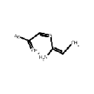 C=C(/C=N\C(N)=C/C)C(C)=O